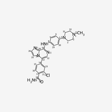 CN1CCN(c2ccc(Nc3ncc(-c4ccc(C(N)=O)c(Cl)c4)n4ccnc34)cc2)CC1